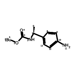 C[C@H](NC(=O)OC(C)(C)C)c1ccc(N)cc1